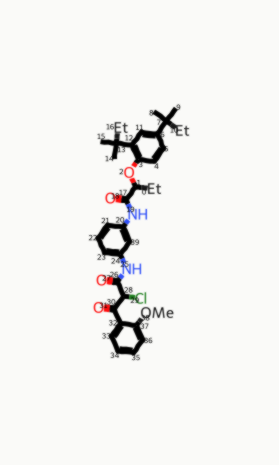 CCC(Oc1ccc(C(C)(C)CC)cc1C(C)(C)CC)C(=O)Nc1cccc(NC(=O)C(Cl)C(=O)c2ccccc2OC)c1